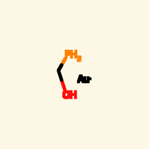 OCP.[Au]